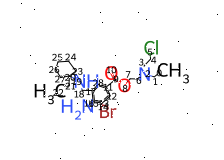 CCN(CCCl)CCOC(=O)c1cc(Br)c(N)c(CNC2(CC)CCCCC2)c1